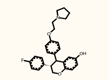 Oc1ccc2c(c1)C(c1ccc(OCCN3CCCC3)cc1)[C@@H](c1ccc(F)cc1)CO2